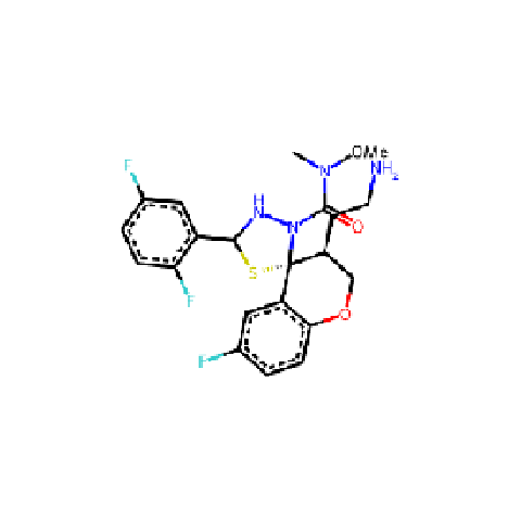 CON(C)C(=O)N1NC(c2cc(F)ccc2F)S[C@]12c1cc(F)ccc1OC[C@@H]2CCN